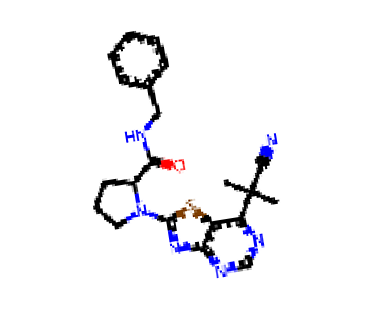 CC(C)(C#N)c1ncnc2nc(N3CCCC3C(=O)NCc3ccccc3)sc12